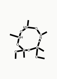 CO[Si]1(C)O[SiH](C)O[SiH](C)O[SiH](C)O[Si](C)(OC)O1